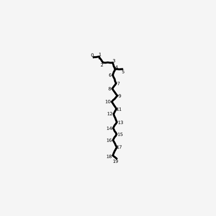 C[CH]CCC(C)CCCCCCCCCCCCCC